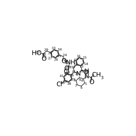 CC(=O)N[C@H]1CCCC[C@@H]1N1C(=O)c2ccccc2[C@@H](C(=O)NOCc2ccc(CC(=O)O)cc2)[C@@H]1c1ccc(Cl)cc1Cl